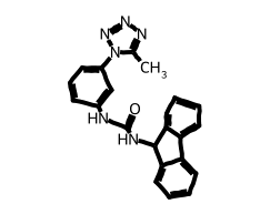 Cc1nnnn1-c1cccc(NC(=O)NC2c3ccccc3-c3ccccc32)c1